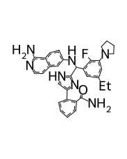 CCc1cc(C(Nc2ccc3c(N)nccc3c2)c2nc(-c3ccccc3C(N)=O)c[nH]2)c(F)c(N2CCCC2)c1